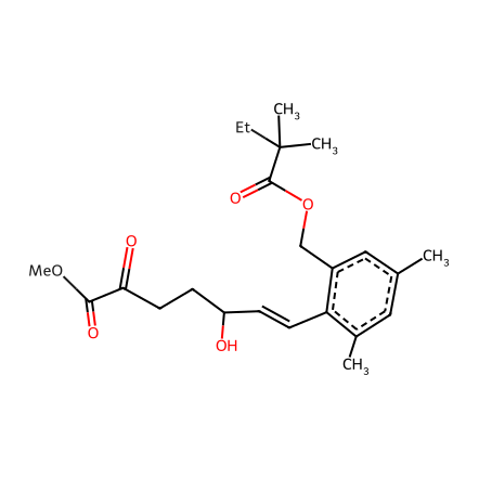 CCC(C)(C)C(=O)OCc1cc(C)cc(C)c1C=CC(O)CCC(=O)C(=O)OC